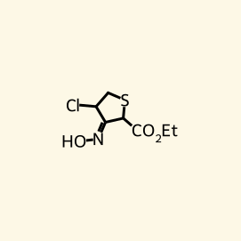 CCOC(=O)C1SCC(Cl)C1=NO